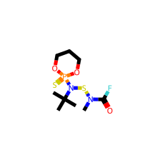 CN(SN(C(C)(C)C)P1(=S)OCCCO1)C(=O)F